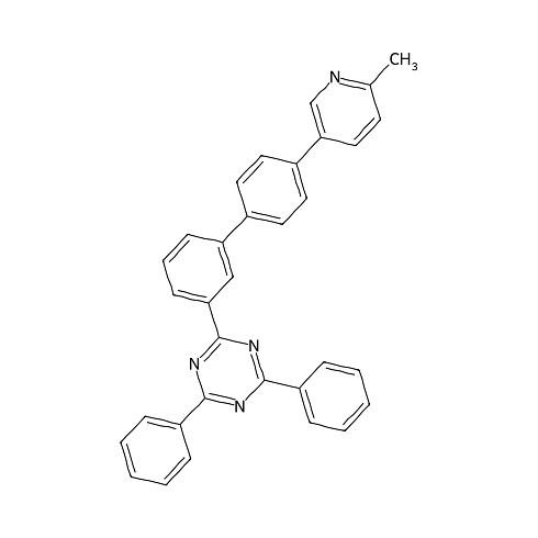 Cc1ccc(-c2ccc(-c3cccc(-c4nc(-c5ccccc5)nc(-c5ccccc5)n4)c3)cc2)cn1